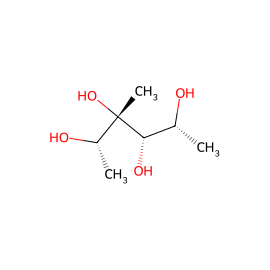 C[C@H](O)[C@](C)(O)[C@@H](O)[C@@H](C)O